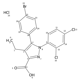 CCc1c(C(=O)O)nn(-c2ccc(Cl)cc2Cl)c1-c1ccc(Br)cc1.Cl